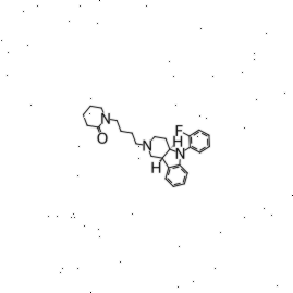 O=C1CCCCN1CCCCN1CC[C@@H]2[C@@H](C1)c1ccccc1N2c1ccccc1F